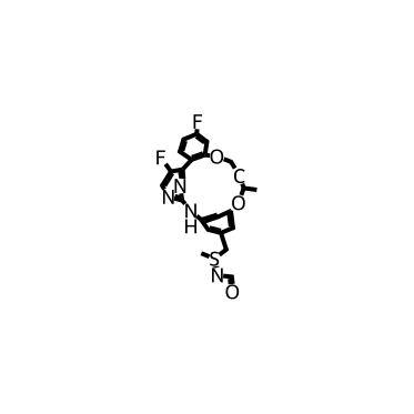 CC1CCOc2cc(F)ccc2-c2nc(ncc2F)Nc2cc(C/S(C)=N\C=O)cc(c2)O1